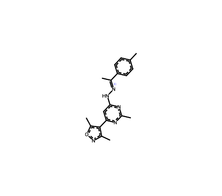 C/C(=N\Nc1cc(-c2c(C)noc2C)nc(C)n1)c1ccc(C)cc1